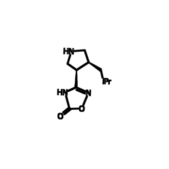 CC(C)C[C@@H]1CNC[C@@H]1c1noc(=O)[nH]1